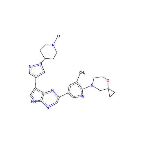 CCN1CCC(n2cc(-c3c[nH]c4ncc(-c5cnc(N6CCOC7(CC7)C6)c(C)c5)nc34)cn2)CC1